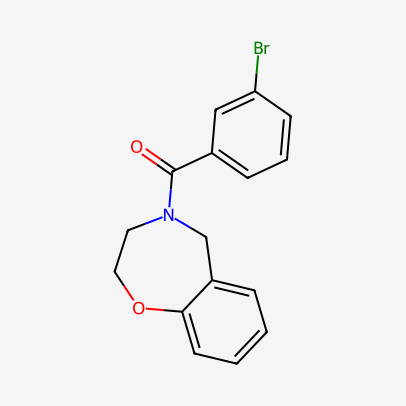 O=C(c1cccc(Br)c1)N1CCOc2ccccc2C1